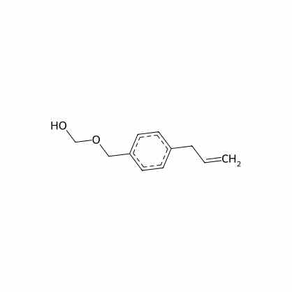 C=CCc1ccc(COCO)cc1